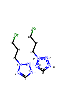 BrCCCN1N=CNN1.BrCCCn1ncnn1